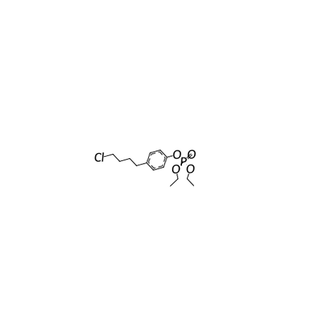 CCOP(=O)(OCC)Oc1ccc(CCCCCl)cc1